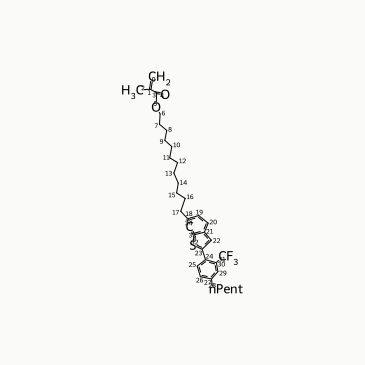 C=C(C)C(=O)OCCCCCCCCCCCCc1ccc2cc(-c3ccc(CCCCC)cc3C(F)(F)F)sc2c1